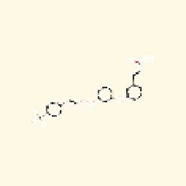 O=C(O)C=Cc1cccc(Oc2cccc(OCC=Cc3ccc(C(F)(F)F)cc3)c2)c1